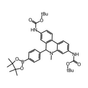 CN1c2cc(NC(=O)OC(C)(C)C)ccc2-c2ccc(NC(=O)OC(C)(C)C)cc2C1c1ccc(B2OC(C)(C)C(C)(C)O2)cc1